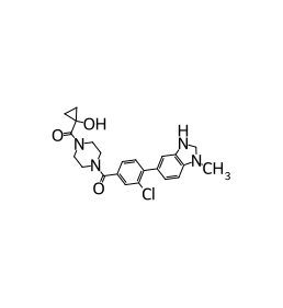 CN1CNc2cc(-c3ccc(C(=O)N4CCN(C(=O)C5(O)CC5)CC4)cc3Cl)ccc21